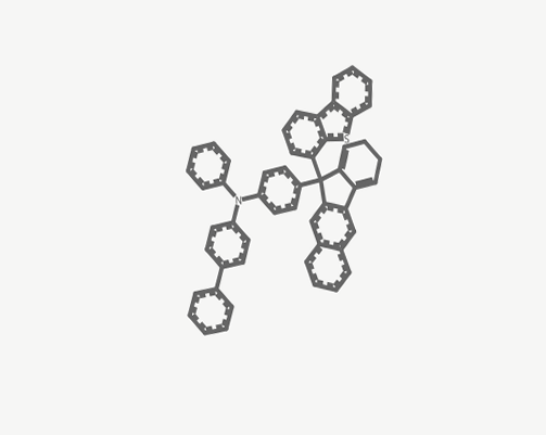 C1=C2C(=CCC1)C(c1ccc(N(c3ccccc3)c3ccc(-c4ccccc4)cc3)cc1)(c1cccc3c1sc1ccccc13)c1cc3ccccc3cc12